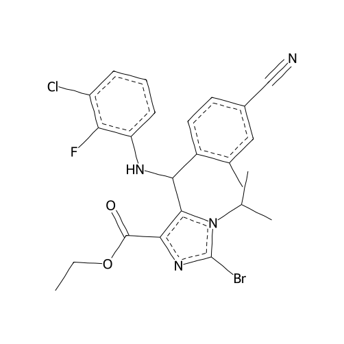 CCOC(=O)c1nc(Br)n(C(C)C)c1C(Nc1cccc(Cl)c1F)c1ccc(C#N)cc1C